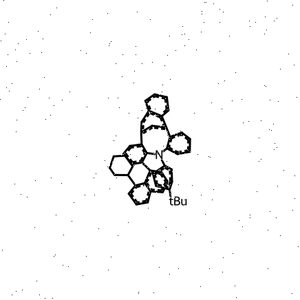 CC(C)(C)c1ccc(N2c3ccccc3-c3cc(cc4ccccc34)-c3cccc(-c4cccc5cccc(C6CCCCC6)c45)c32)cc1